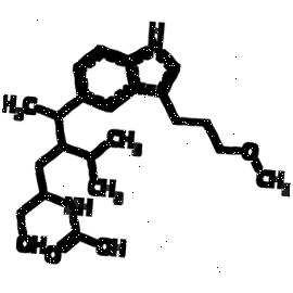 COCCCc1c[nH]c2ccc(C(C)C(CC(CO)NC(=O)O)C(C)C)cc12